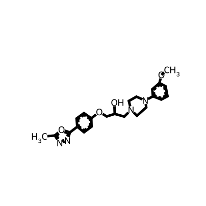 COc1cccc(N2CCN(CC(O)COc3ccc(-c4nnc(C)o4)cc3)CC2)c1